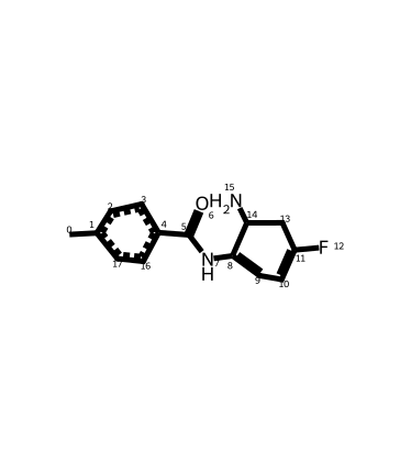 Cc1ccc(C(=O)NC2=CC=C(F)CC2N)cc1